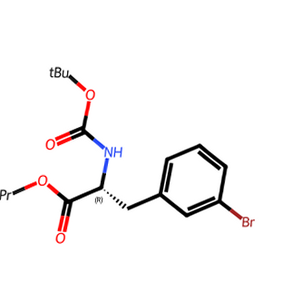 CC(C)OC(=O)[C@@H](Cc1cccc(Br)c1)NC(=O)OC(C)(C)C